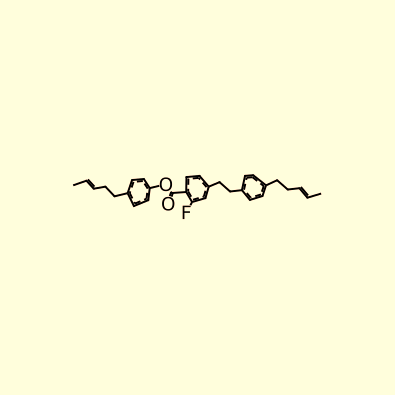 C/C=C/CCc1ccc(CCc2ccc(C(=O)Oc3ccc(CC/C=C/C)cc3)c(F)c2)cc1